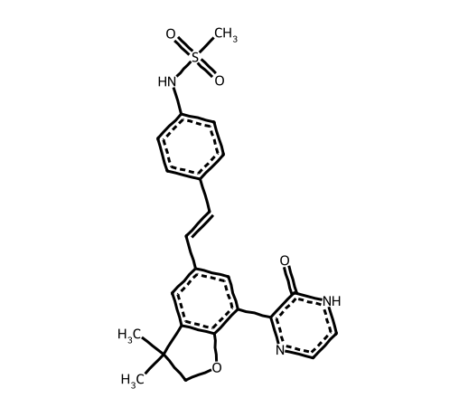 CC1(C)COc2c(-c3ncc[nH]c3=O)cc(/C=C/c3ccc(NS(C)(=O)=O)cc3)cc21